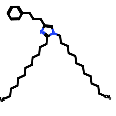 CCCCCCCCCCCCCn1cc(CCCc2ccccc2)nc1CCCCCCCCCCCC